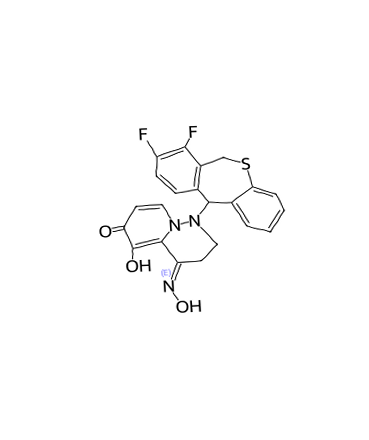 O=c1ccn2c(c1O)/C(=N/O)CCN2C1c2ccccc2SCc2c1ccc(F)c2F